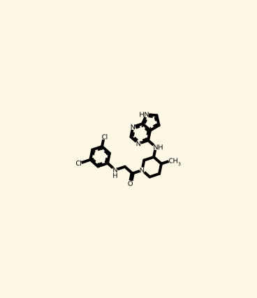 CC1CCN(C(=O)CNc2cc(Cl)cc(Cl)c2)CC1Nc1ncnc2[nH]ccc12